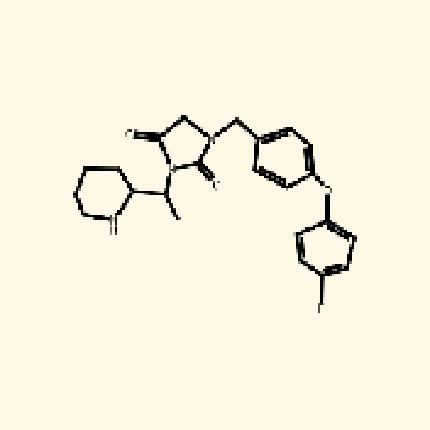 CC(C1CCCCN1)N1C(=O)CN(Cc2ccc(Oc3ccc(F)cc3)cc2)C1=O